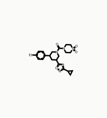 CCc1ccc(C2CC(c3nc(C4CC4)no3)CN(C(=O)N3CCS(=O)(=O)CC3)C2)cc1